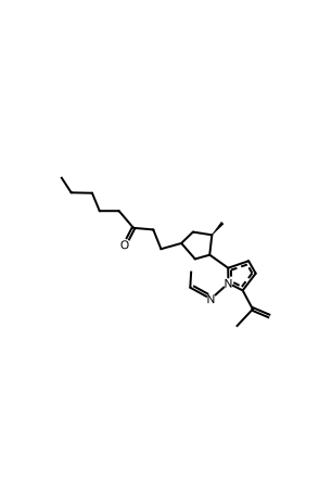 C=C(C)c1ccc(C2CC(CCC(=O)CCCCC)C[C@H]2C)n1/N=C\C